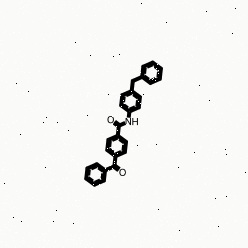 O=C(Nc1ccc(Cc2ccccc2)cc1)c1ccc(C(=O)c2ccccc2)cc1